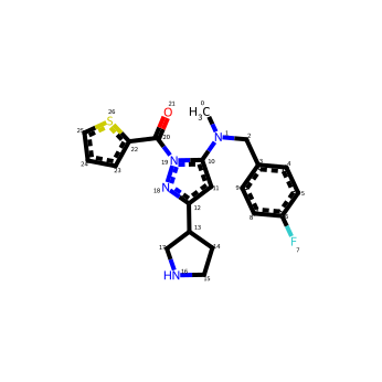 CN(Cc1ccc(F)cc1)c1cc(C2CCNC2)nn1C(=O)c1cccs1